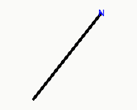 CC#CC#CC#CC#CC#CC#CC#CC#CC#CC#CC#CC#CC#CC#CC#CC#CC#CC#CC#CC#N